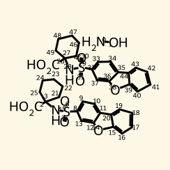 NO.O=C(O)C1(NS(=O)(=O)c2ccc3c(c2)oc2ccccc23)CCCCC1.O=C(O)C1(NS(=O)(=O)c2ccc3c(c2)oc2ccccc23)CCCCC1